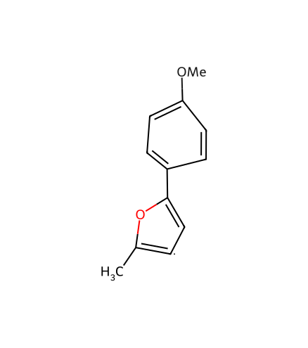 COc1ccc(-c2c[c]c(C)o2)cc1